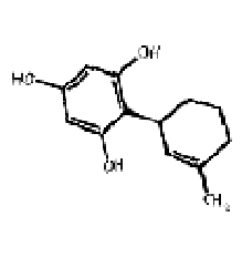 CC1=C[C@@H](c2c(O)cc(O)cc2O)CCC1